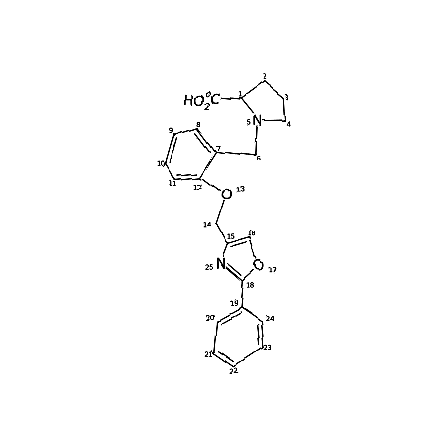 O=C(O)C1CCCN1Cc1ccccc1OCc1coc(-c2ccccc2)n1